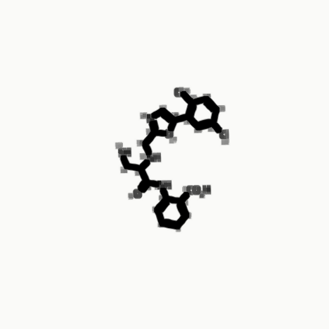 O=C(O)c1ccccc1NC(=O)C(CS)NCc1ncc(-c2cc(Cl)ccc2Cl)o1